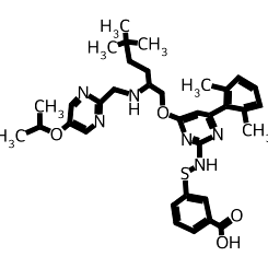 Cc1cccc(C)c1-c1cc(OCC(CCC(C)(C)C)NCc2ncc(OC(C)C)cn2)nc(NSc2cccc(C(=O)O)c2)n1